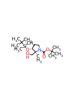 CC(C)(C)OC(=O)N1CC[C@@H](O[Si](C)(C)C(C)(C)C)[C@]1(C)CO